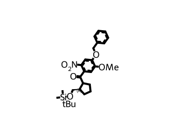 COc1cc(C(=O)C2CCC[C@H]2CO[Si](C)(C)C(C)(C)C)c([N+](=O)[O-])cc1OCc1ccccc1